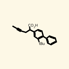 CC#CCC(C(=O)O)c1ccc(-c2ccccc2)c(C(C)(C)C)c1